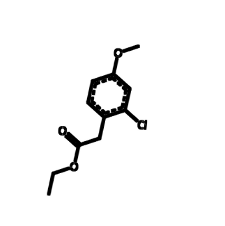 CCOC(=O)Cc1ccc(OC)cc1Cl